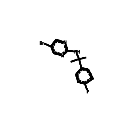 CC(C)(Nc1ncc(Br)cn1)c1ccc(F)cc1